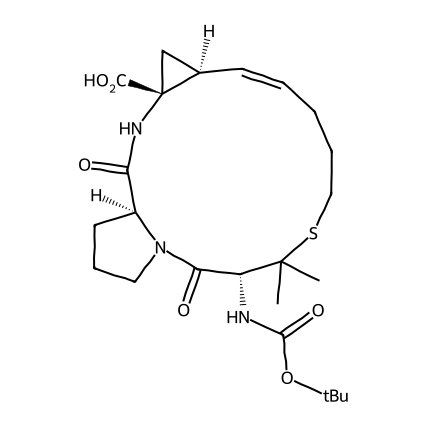 CC(C)(C)OC(=O)N[C@@H]1C(=O)N2CCC[C@H]2C(=O)N[C@]2(C(=O)O)C[C@H]2/C=C\CCCSC1(C)C